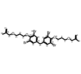 C=C(C)COCCCOc1c(Br)cc(Cc2cc(Br)c(OCCCOCC(=C)C)c(Br)c2)cc1Br